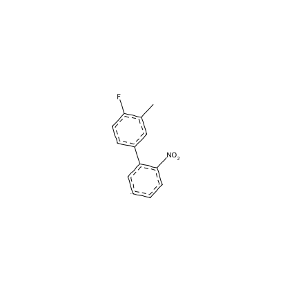 Cc1cc(-c2c[c]ccc2[N+](=O)[O-])ccc1F